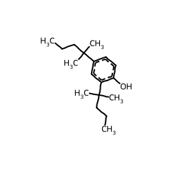 CCCC(C)(C)c1ccc(O)c(C(C)(C)CCC)c1